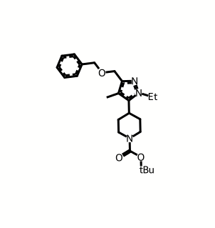 CCn1nc(COCc2ccccc2)c(C)c1C1CCN(C(=O)OC(C)(C)C)CC1